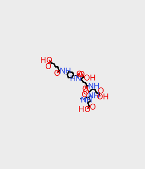 CNC(=O)[C@H](CCC(=O)O)NC(=O)[C@H](CCC(=O)O)NC(=O)CCC(NC(=O)[C@H]1CC[C@H](CNC(=O)CCCC(=O)O)CC1)C(=O)O